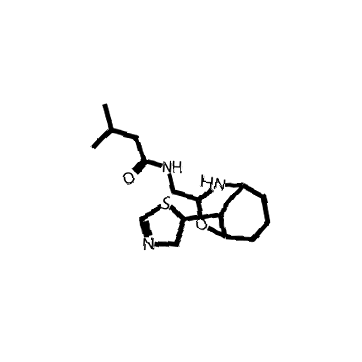 CC(C)CC(=O)NCC1NC2CCCC(O1)C(C1CN=CS1)C2